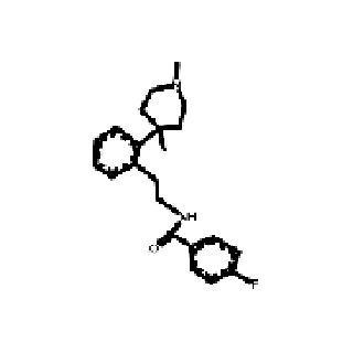 CN1CCC(C)(c2ccccc2CCNC(=O)c2ccc(F)cc2)CC1